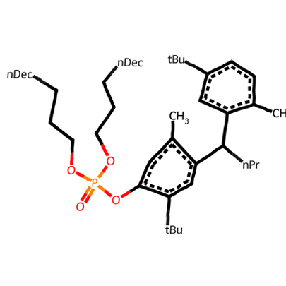 CCCCCCCCCCCCCOP(=O)(OCCCCCCCCCCCCC)Oc1cc(C)c(C(CCC)c2cc(C(C)(C)C)[c]cc2C)cc1C(C)(C)C